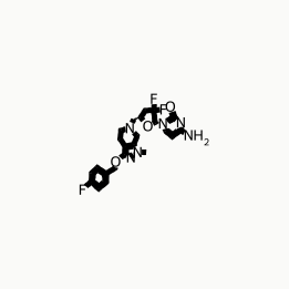 Cn1nc(OCc2ccc(F)cc2)c2c1CN(C[C@@H]1CC(F)(F)[C@H](n3ccc(N)nc3=O)O1)CC2